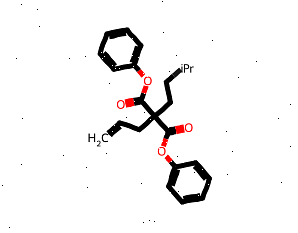 C=CCC(CCC(C)C)(C(=O)Oc1ccccc1)C(=O)Oc1ccccc1